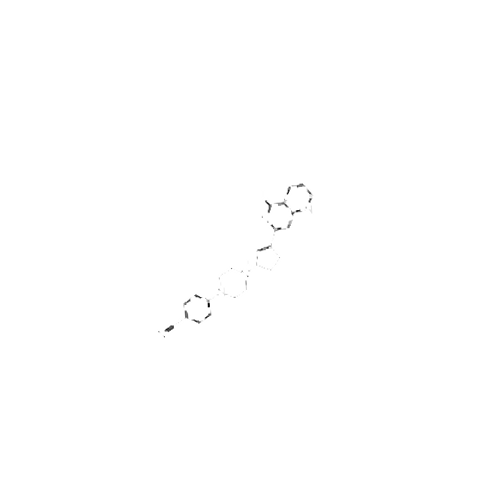 N#Cc1ccc(N2CCN([C@H]3C=C(c4cc5ncccc5c(=O)[nH]4)CC3)CC2)cc1